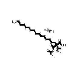 C=C.CCCCCCCCCCCCCCCCC(C(C)=O)(C(C)=O)C(=O)OC(C)=O